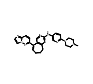 CN1CCN(c2ccc(Nc3ncc4c(n3)CCCC=C4c3ccc4nccn4n3)cn2)CC1